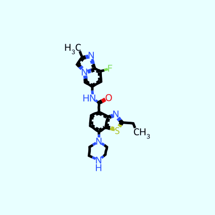 CCc1nc2c(C(=O)Nc3cc(F)c4nc(C)cn4c3)ccc(N3CCNCC3)c2s1